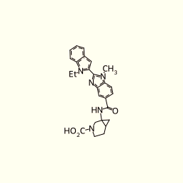 CCn1c(-c2nc3cc(C(=O)NC45CC4CCN(C(=O)O)C5)ccc3n2C)cc2ccccc21